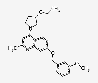 CCO[C@H]1CCN(c2cc(C)nc3cc(OCc4cccc(OC)c4)ccc23)C1